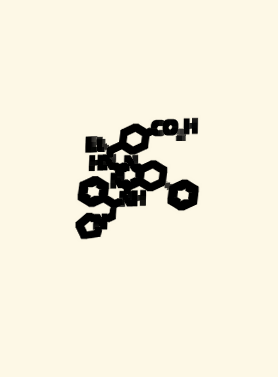 CC[C@@H](Nc1nc2c(c(N[C@@H](CN3CCCC3)c3ccccc3)n1)C[C@@H](c1ccccc1)CC2)C1CCC(C(=O)O)CC1